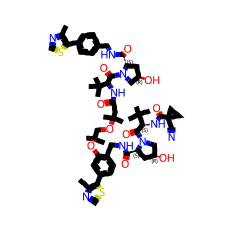 Cc1ncsc1-c1ccc(CNC(=O)[C@@H]2C[C@@H](O)CN2C(=O)C(NC(=O)CC(C)(C)OCC(C)(C)Oc2cc(-c3scnc3C)ccc2CNC(=O)[C@@H]2C[C@@H](O)CN2C(=O)[C@@H](NC(=O)C2(C#N)CC2)C(C)(C)C)C(C)(C)C)cc1